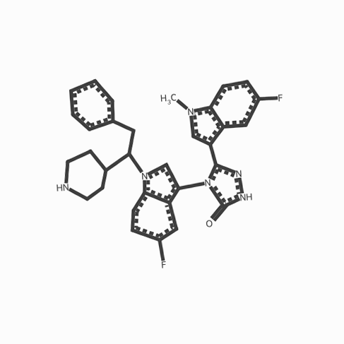 Cn1cc(-c2n[nH]c(=O)n2-c2cn(C(Cc3ccccc3)C3CCNCC3)c3ccc(F)cc23)c2cc(F)ccc21